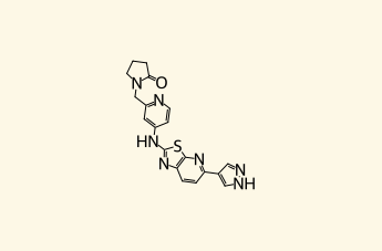 O=C1CCCN1Cc1cc(Nc2nc3ccc(-c4cn[nH]c4)nc3s2)ccn1